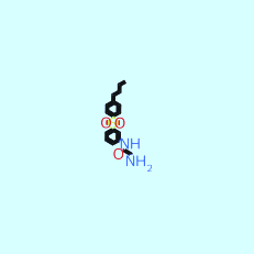 CCCCc1ccc(S(=O)(=O)c2cccc(NC(=O)CN)c2)cc1